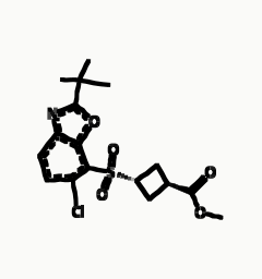 COC(=O)[C@H]1C[C@H](S(=O)(=O)c2c(Cl)ccc3nc(C(C)(C)C)oc23)C1